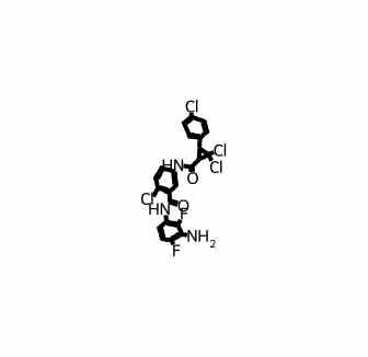 Nc1c(F)ccc(NC(=O)c2cc(NC(=O)C3C(c4ccc(Cl)cc4)C3(Cl)Cl)ccc2Cl)c1F